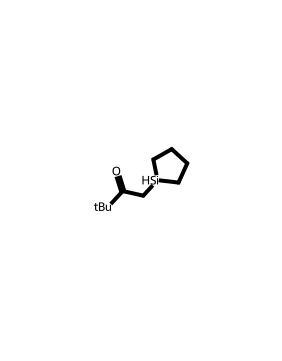 CC(C)(C)C(=O)C[SiH]1CCCC1